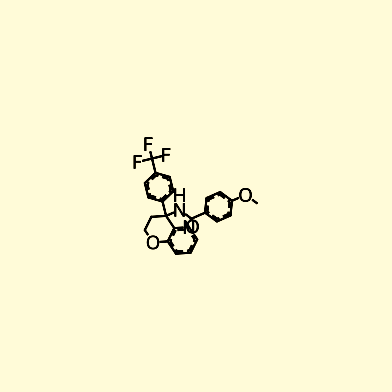 COc1ccc(C(=O)NC2(c3ccc(C(F)(F)F)cc3)CCOc3cccnc32)cc1